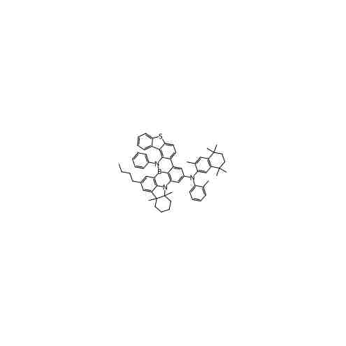 CCCCc1cc2c3c(c1)C1(C)CCCCC1(C)N3c1cc(N(c3ccccc3C)c3cc4c(cc3C)C(C)(C)CCC4(C)C)cc3c1B2N(c1ccccc1)c1c-3ccc2sc3ccccc3c12